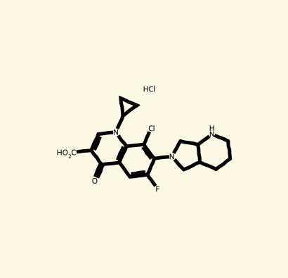 Cl.O=C(O)c1cn(C2CC2)c2c(Cl)c(N3CC4CCCNC4C3)c(F)cc2c1=O